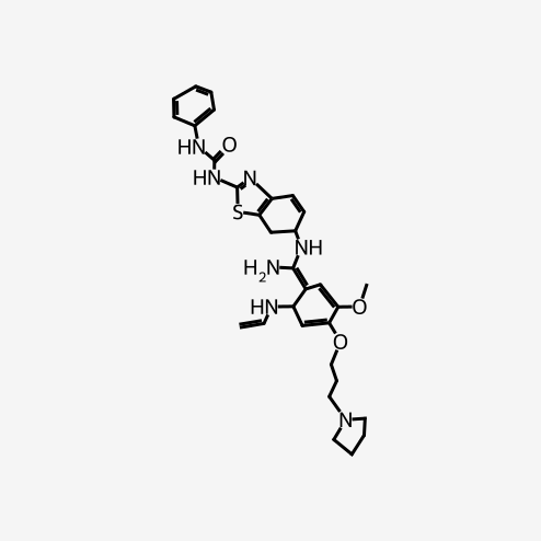 C=CNC1C=C(OCCCN2CCCC2)C(OC)=C/C1=C(/N)NC1C=Cc2nc(NC(=O)Nc3ccccc3)sc2C1